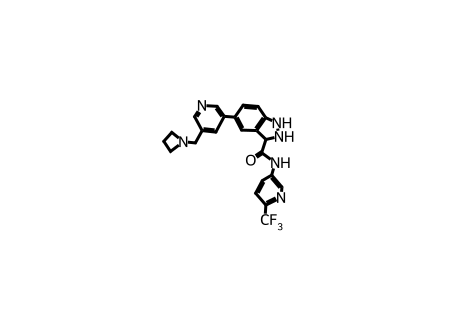 O=C(Nc1ccc(C(F)(F)F)nc1)C1NNc2ccc(-c3cncc(CN4CCC4)c3)cc21